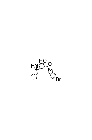 O=C(c1cc2c(CC3CCCCC3)n[nH]c2cc1O)N1Cc2ccc(Br)cc2C1